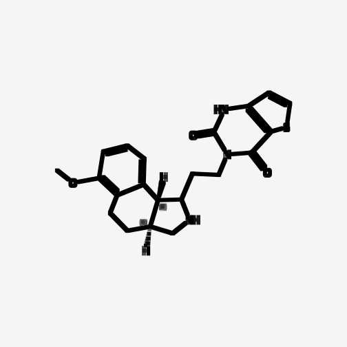 COc1cccc2c1CC[C@@H]1CNC(CCn3c(=O)[nH]c4ccsc4c3=O)[C@@H]21